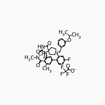 Cc1cc(-c2ccc(F)cc2[N+]2(Cc3cccc(OC(C)C)c3)CCC3(CC2)NC(=O)NC3=O)ccc1C(=O)N(C)C.O=C([O-])C(F)(F)F